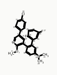 COc1ncc(-c2ccc(Cl)cc2)cc1-c1ccc(N(C)C)cc1-c1cc(F)ccc1F